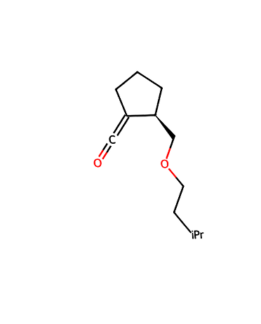 CC(C)CCOC[C@@H]1CCCC1=C=O